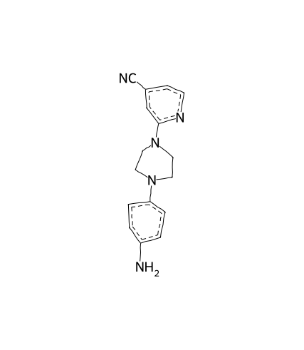 N#Cc1ccnc(N2CCN(c3ccc(N)cc3)CC2)c1